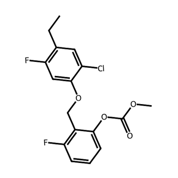 CCc1cc(Cl)c(OCc2c(F)cccc2OC(=O)OC)cc1F